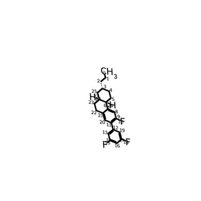 CCC[C@@H]1CC[C@@H]2c3cc(F)c(-c4cc(F)cc(F)c4)cc3CC[C@@H]2C1